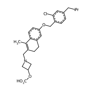 CC1=C(CN2CC(OC(=O)O)C2)CCc2cc(OCc3ccc(CC(C)C)cc3Cl)ccc21